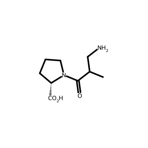 CC(CN)C(=O)N1CCC[C@H]1C(=O)O